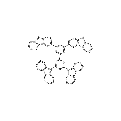 c1ccc2c(c1)sc1ccc(-c3cc(-c4ccc5sc6ccccc6c5c4)nc(-c4cc(-n5c6ccccc6c6ccccc65)cc(-n5c6ccccc6c6ccccc65)c4)n3)cc12